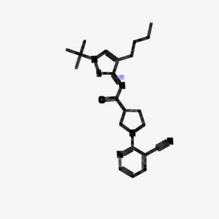 CCCCc1cn(C(C)(C)C)s/c1=N\C(=O)C1CCN(c2ncccc2C#N)C1